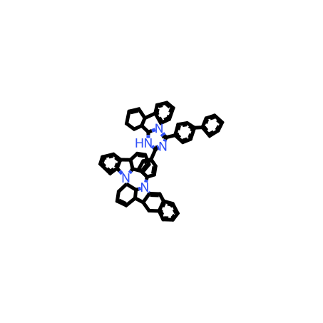 C1=CC2c3ccccc3N(C3CC=CC4C5Cc6ccccc6C=C5N(C5C=CC(C6=NC(c7ccc(-c8ccccc8)cc7)=NC(C7CCC=CC7c7ccccc7)N6)=CC5)C43)C2C=C1